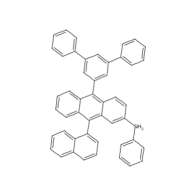 c1ccc([SiH2]c2ccc3c(-c4cc(-c5ccccc5)cc(-c5ccccc5)c4)c4ccccc4c(-c4cccc5ccccc45)c3c2)cc1